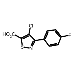 O=C(O)c1snc(-c2ccc(F)cc2)c1Cl